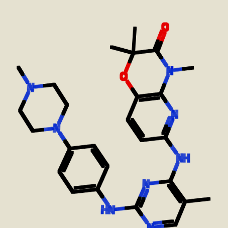 Cc1cnc(Nc2ccc(N3CCN(C)CC3)cc2)nc1Nc1ccc2c(n1)N(C)C(=O)C(C)(C)O2